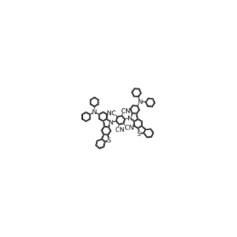 N#Cc1c(C#N)c(-n2c3ccc(N(c4ccccc4)c4ccccc4)cc3c3cc4c(cc32)sc2ccccc24)c(C#N)c(C#N)c1-n1c2ccc(N(c3ccccc3)c3ccccc3)cc2c2cc3c(cc21)sc1ccccc13